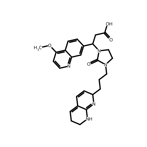 COc1ccnc2cc(C(CC(=O)O)N3CCN(CCCC4C=CC5=CCCNC5=N4)C3=O)ccc12